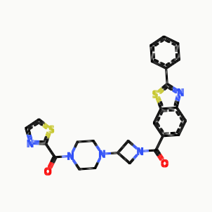 O=C(c1ccc2nc(-c3ccccc3)sc2c1)N1CC(N2CCN(C(=O)c3nccs3)CC2)C1